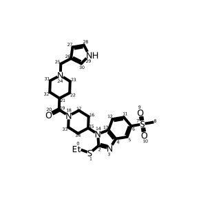 CCSc1nc2cc(S(C)(=O)=O)ccc2n1C1CCN(C(=O)C2CCN(Cc3cc[nH]c3)CC2)CC1